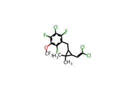 CC1(C)C(C=C(Cl)Cl)C1Cc1c(F)c(Cl)c(F)c(OC(F)(F)F)c1F